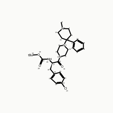 CN1CCC(c2ccccc2)(N2CCN(C(=O)[C@@H](Cc3ccc(Cl)cc3)NC(=O)OC(C)(C)C)CC2)CC1